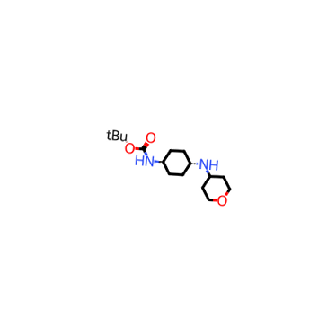 CC(C)(C)OC(=O)N[C@H]1CC[C@H](NC2CCOCC2)CC1